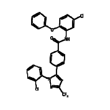 O=C(Nc1cc(Cl)ccc1Oc1ccccc1)c1ccc(-c2cc(C(F)(F)F)nn2-c2ccccc2Cl)cc1